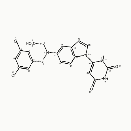 O=C(O)CN(Sc1cc(Cl)cc(Cl)c1)c1ccc2c(ccn2-c2cc(=O)[nH]c(=O)[nH]2)c1